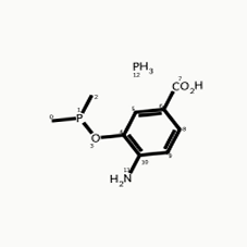 CP(C)Oc1cc(C(=O)O)ccc1N.P